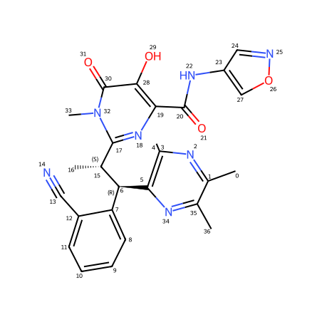 Cc1nc(C)c([C@@H](c2ccccc2C#N)[C@H](C)c2nc(C(=O)Nc3cnoc3)c(O)c(=O)n2C)nc1C